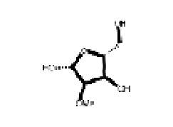 COC1C(O)[C@@H](CO)O[C@H]1O